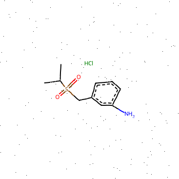 CC(C)S(=O)(=O)Cc1cccc(N)c1.Cl